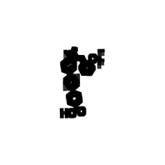 Cc1nc2ccc(-c3cnc([C@H]4CC[C@H](C(=O)O)CC4)cn3)cn2c1Cc1ccccc1OC(F)F